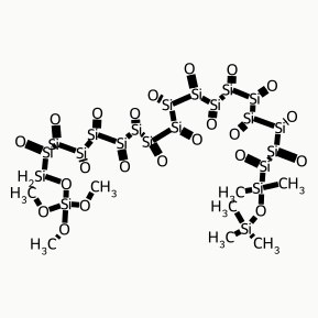 CO[Si](OC)(OC)O[SiH2][Si](=O)[Si](=O)[Si](=O)[Si](=O)[Si](=O)[Si](=O)[Si](=O)[Si](=O)[Si](=O)[Si](=O)[Si](=O)[Si](=O)[Si](=O)[Si](=O)[Si](=O)[Si](=O)[Si](=O)[Si](C)(C)O[Si](C)(C)C